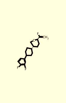 C=C(F)[C@H]1CC[C@H](C2CCC(c3ccc(F)c(F)c3)CC2)CC1